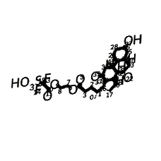 C[C@H](CCC(=O)OCCOC(=O)C(F)(F)S(=O)(=O)O)[C@H]1CC[C@H]2[C@@H]3C(=O)C[C@@H]4CC(O)CC[C@]4(C)[C@H]3CC(=O)[C@]12C